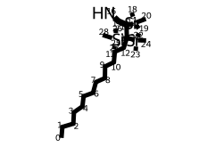 CCCCCCCCCCCCCC(C(=C=N)[Si](C)(C)C)([Si](C)(C)C)[Si](C)(C)C